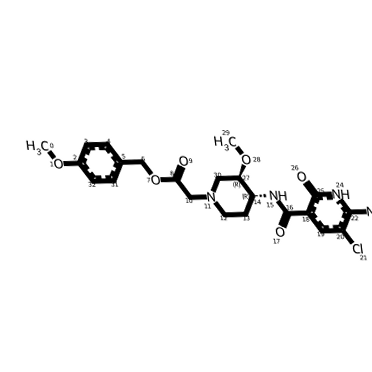 COc1ccc(COC(=O)CN2CC[C@@H](NC(=O)c3cc(Cl)c(N)[nH]c3=O)[C@H](OC)C2)cc1